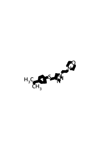 CC(C)c1ccc(SCc2cn(CCN3CCOCC3)nn2)cc1